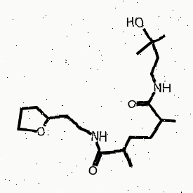 CC(CCC(C)C(=O)NCCC(C)(C)O)C(=O)NCCC1CCCO1